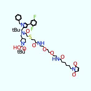 CC(C)(C)OC(O)N1CCC(CN(C(=O)CSCCC(=O)NCCOCCOCCNC(=O)CCCCCN2C(=O)C=CC2=O)[C@@H](c2cc(-c3cc(F)ccc3F)cn2Cc2ccccc2)C(C)(C)C)C1